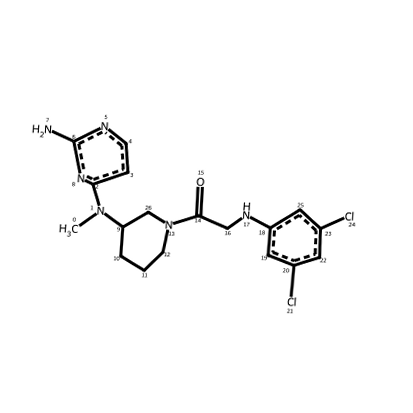 CN(c1ccnc(N)n1)C1CCCN(C(=O)CNc2cc(Cl)cc(Cl)c2)C1